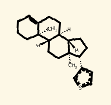 C[C@]12CC[C@H]3[C@@H](CCC4=CCCC[C@@]43C)[C@@H]1CC[C@@H]2c1ccsc1